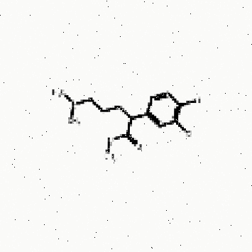 COC(=O)C(CCCN(C)C)c1ccc(Cl)c(Cl)c1